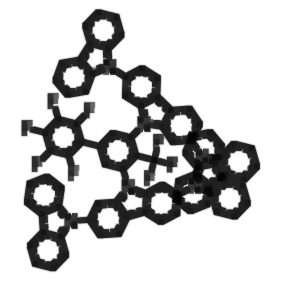 Fc1c(F)c(F)c(-c2cc(-n3c4cc(-n5c6ccccc6c6ccccc65)ccc4c4ccc(-n5c6ccccc6c6ccccc65)cc43)c(C(F)(F)F)c(-n3c4cc(-n5c6ccccc6c6ccccc65)ccc4c4ccc(-n5c6ccccc6c6ccccc65)cc43)c2)c(F)c1F